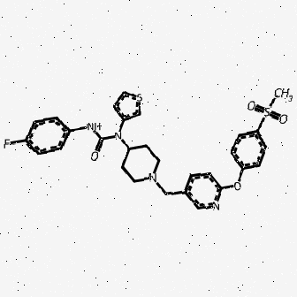 CS(=O)(=O)c1ccc(Oc2ccc(CN3CCC(N(C(=O)Nc4ccc(F)cc4)c4ccsc4)CC3)cn2)cc1